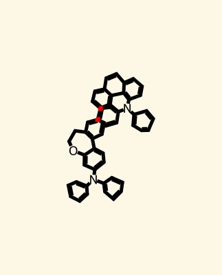 c1ccc(N(c2ccccc2)c2ccc3c(c2)OCCc2cc(-c4ccc5ccc6cccc(N(c7ccccc7)c7ccccc7)c6c5c4)ccc2-3)cc1